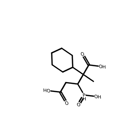 CC(C(=O)O)(C1CCCCC1)C(CC(=O)O)[PH](=O)O